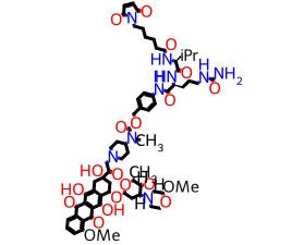 COc1cccc2c1C(=O)c1c(O)c3c(c(O)c1C2=O)C[C@@](O)(C(=O)CN1CCC(N(C)C(=O)OCc2ccc(NC(=O)[C@H](CCCNC(N)=O)NC(=O)[C@@H](NC(=O)CCCCCN4C(=O)C=CC4=O)C(C)C)cc2)CC1)C[C@@H]3O[C@H]1C[C@H]2[C@H](O[C@@H]3[C@@H](OC)OCCN32)[C@H](C)O1